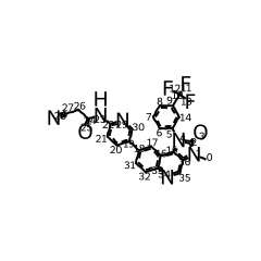 Cn1c(=O)n(-c2cccc(C(F)(F)F)c2)c2c3cc(-c4ccc(NC(=O)CC#N)nc4)ccc3ncc21